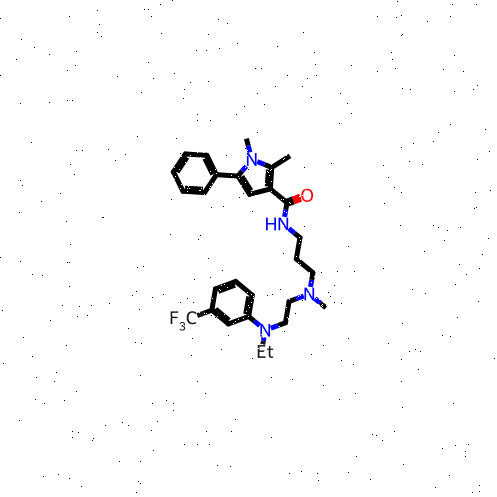 CCN(CCN(C)CCCNC(=O)c1cc(-c2ccccc2)n(C)c1C)c1cccc(C(F)(F)F)c1